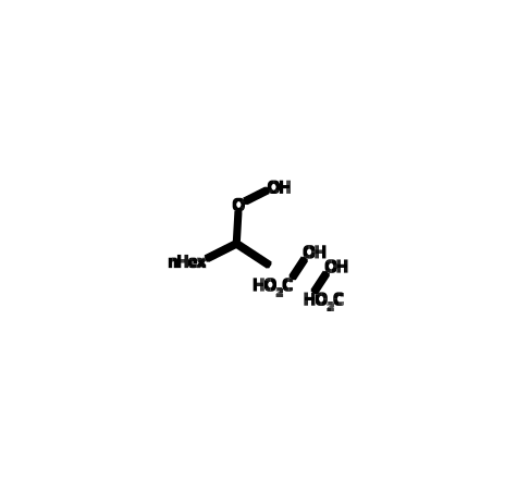 CCCCCCC(C)OO.O=C(O)O.O=C(O)O